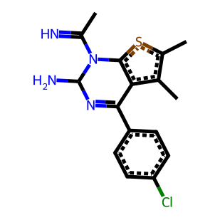 CC(=N)N1c2sc(C)c(C)c2C(c2ccc(Cl)cc2)=NC1N